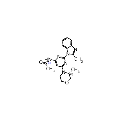 Cc1nc2ccccc2n1-c1nc(/N=[SH](\C)=O)cc(N2CCOC[C@H]2C)n1